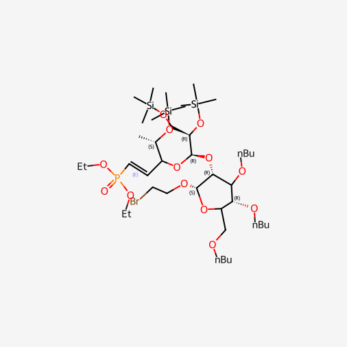 CCCCOCC1O[C@H](OCCBr)[C@H](O[C@@H](OC(/C=C/P(=O)(OCC)OCC)[C@H](C)O[Si](C)(C)C)[C@@H](CO[Si](C)(C)C)O[Si](C)(C)C)C(OCCCC)[C@@H]1OCCCC